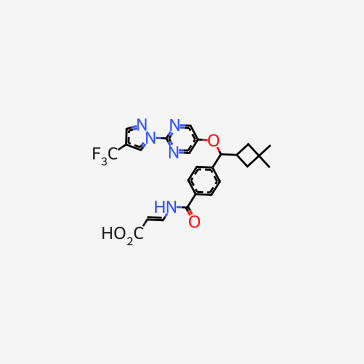 CC1(C)CC(C(Oc2cnc(-n3cc(C(F)(F)F)cn3)nc2)c2ccc(C(=O)N/C=C/C(=O)O)cc2)C1